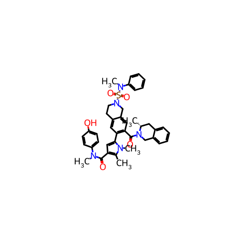 Cc1c(C(=O)N(C)c2ccc(O)cc2)cc(-c2cc3c(cc2C(=O)N2Cc4ccccc4C[C@H]2C)CN(S(=O)(=O)N(C)c2ccccc2)CC3)n1C